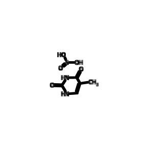 Cc1c[nH]c(=O)[nH]c1=O.O=S(O)O